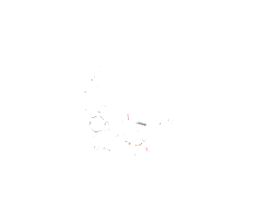 COCC#CC(=O)[C@](Cc1nccc2c1C[C@H](CCC1CC1)C2)(OCOC)[C@@H](C)COS(C)(=O)=O